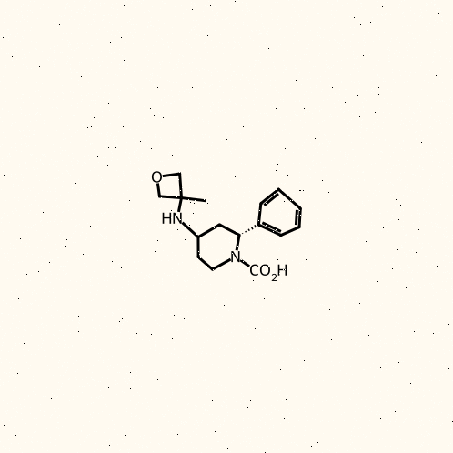 CC1(NC2CCN(C(=O)O)[C@@H](c3ccccc3)C2)COC1